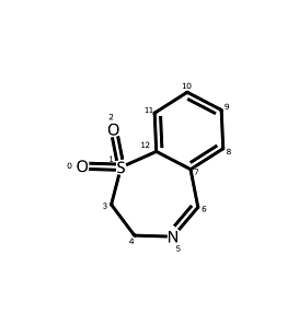 O=S1(=O)CCN=Cc2ccccc21